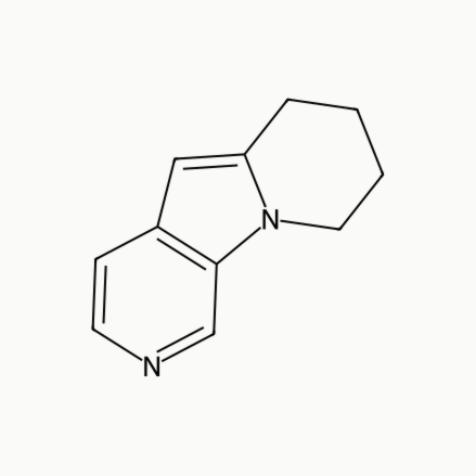 c1cc2cc3n(c2cn1)CCCC3